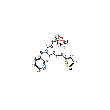 CCOC(CCCN(CCCCc1cccs1)Cc1cccnc1)(C(F)(F)F)C(F)(F)F